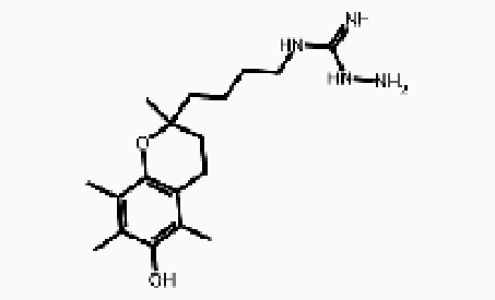 Cc1c(C)c2c(c(C)c1O)CCC(C)(CCCCNC(=N)NN)O2